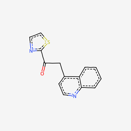 O=C(Cc1ccnc2ccccc12)c1nccs1